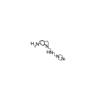 CN1CCN(CCNCCN2CCc3ccc(N)cc32)CC1